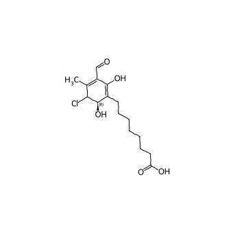 CC1=C(C=O)C(O)=C(CCCCCCCC(=O)O)[C@@H](O)C1Cl